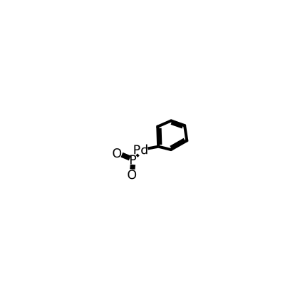 O=[P](=O)[Pd][c]1ccccc1